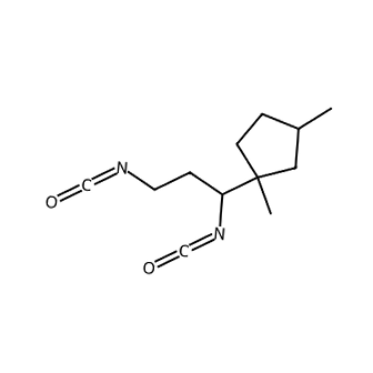 CC1CCC(C)(C(CCN=C=O)N=C=O)C1